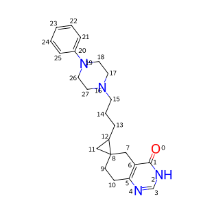 O=c1[nH]cnc2c1CC1(CC2)CC1CCCN1CCN(c2ccccc2)CC1